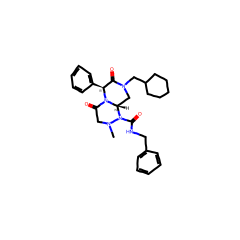 CN1CC(=O)N2[C@@H](c3ccccc3)C(=O)N(CC3CCCCC3)C[C@@H]2N1C(=O)NCc1ccccc1